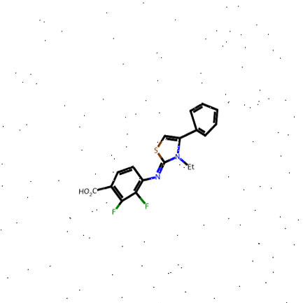 CCn1c(-c2ccccc2)cs/c1=N\c1ccc(C(=O)O)c(F)c1F